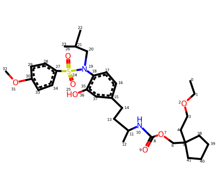 CCOCCC1(COC(=O)NC(C)CCc2ccc(N(CC(C)C)S(=O)(=O)c3ccc(OC)cc3)c(O)c2)CCCC1